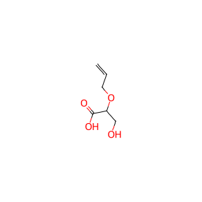 C=CCOC(CO)C(=O)O